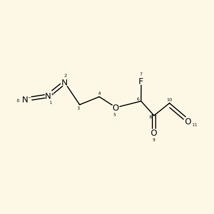 [N-]=[N+]=NCCOC(F)C(=O)C=O